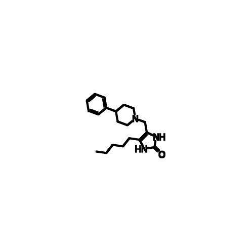 CCCCCc1[nH]c(=O)[nH]c1CN1CCC(c2ccccc2)CC1